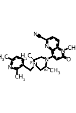 Cc1ccc(CN2C[C@H](C)N(c3cc(=O)n(C)c4ccc(C#N)nc34)C[C@H]2C)c(C)n1